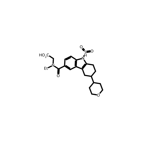 CCN(CC(=O)O)C(=O)c1ccc2c(c1)c1c(n2[SH](=O)=O)CCC(C2CCOCC2)C1